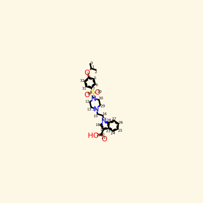 CC(C)Oc1ccc(S(=O)(=O)N2CCN(CCn3cc(C(=O)O)c4ccccc43)CC2)cc1